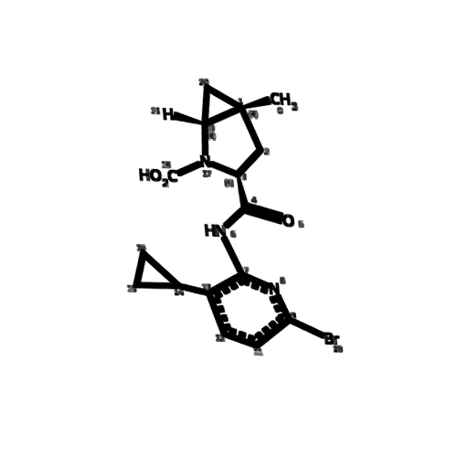 C[C@@]12C[C@@H](C(=O)Nc3nc(Br)ccc3C3CC3)N(C(=O)O)[C@@H]1C2